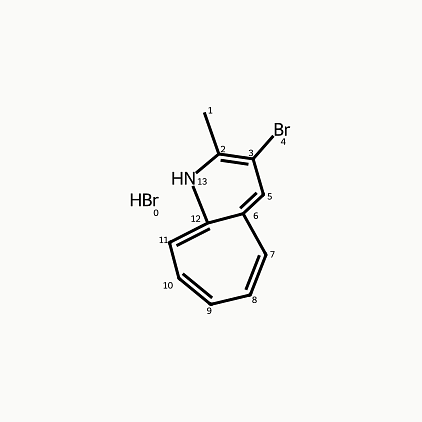 Br.CC1=C(Br)C=C2C=CC=CC=C2N1